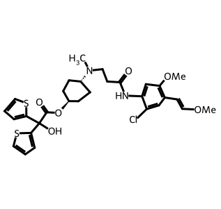 CO/C=C/c1cc(Cl)c(NC(=O)CCN(C)[C@H]2CC[C@H](OC(=O)C(O)(c3cccs3)c3cccs3)CC2)cc1OC